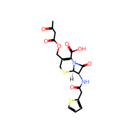 CC(=O)CC(=O)OCC1=C(C(=O)O)N2C(=O)[C@@H](NC(=O)Cc3cccs3)[C@H]2SC1